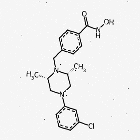 C[C@@H]1CN(c2cccc(Cl)c2)C[C@H](C)N1Cc1ccc(C(=O)NO)cc1